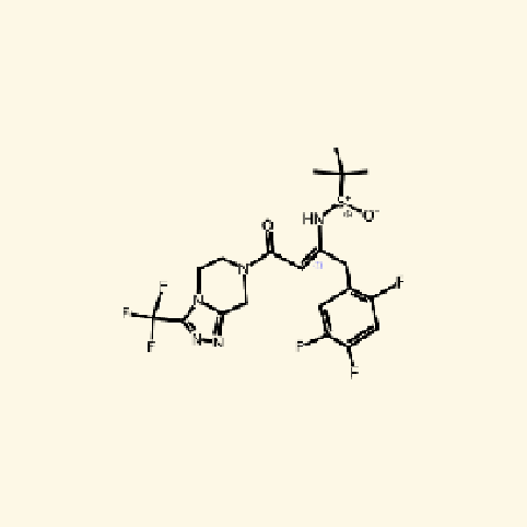 CC(C)(C)[S@@+]([O-])N/C(=C\C(=O)N1CCn2c(nnc2C(F)(F)F)C1)Cc1cc(F)c(F)cc1F